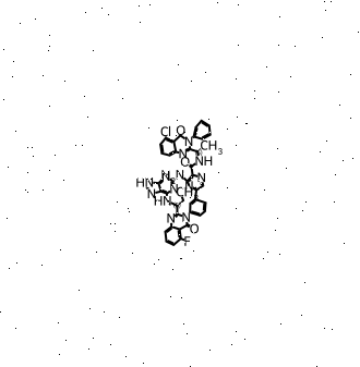 CC[C@H](Nc1ncnc2[nH]cnc12)c1nc2cccc(F)c2c(=O)n1-c1cccc(-c2cnc(C(=O)N[C@@H](C)c3nc4cccc(Cl)c4c(=O)n3-c3ccccc3)c(N)n2)c1